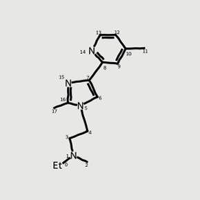 CCN(C)CCn1cc(-c2cc(C)ccn2)nc1C